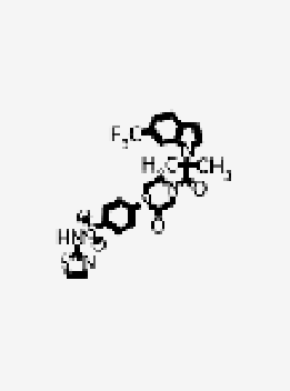 CC(C)(C(=O)N1CCN(c2ccc(S(=O)(=O)Nc3nccs3)cc2)C(=O)C1)n1ccc2ccc(C(F)(F)F)cc21